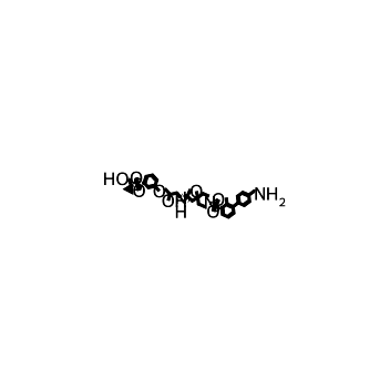 Cc1c(-c2ccc(CN)cc2)cccc1S(=O)(=O)N1CCC2(CC1)C[C@H](NCC(O)COc1cccc(S(=O)(=O)C3(CO)CC3)c1)CO2